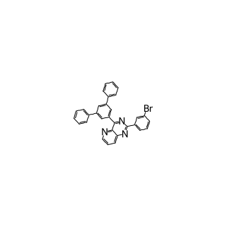 Brc1cccc(-c2nc(-c3cc(-c4ccccc4)cc(-c4ccccc4)c3)c3ncccc3n2)c1